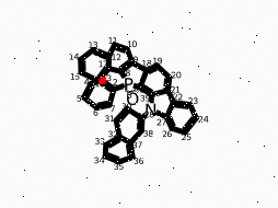 O=P1(c2ccccc2)c2c(ccc3ccccc23)-c2ccc3c4ccccc4n(-c4ccc5ccccc5c4)c3c21